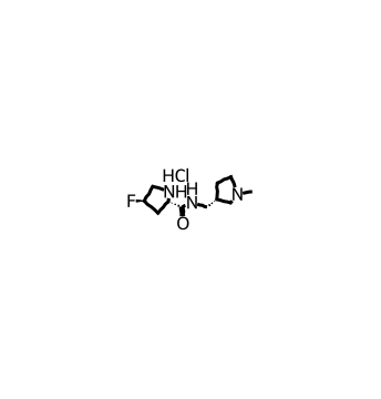 CN1CC[C@@H](CNC(=O)[C@@H]2C[C@@H](F)CN2)C1.Cl